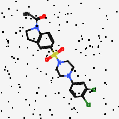 CCCC(=O)N1CCc2cc(S(=O)(=O)N3CCN(c4ccc(Cl)c(Cl)c4)CC3)ccc21